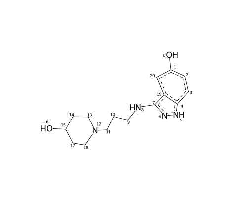 Oc1ccc2[nH]nc(NCCCN3CCC(O)CC3)c2c1